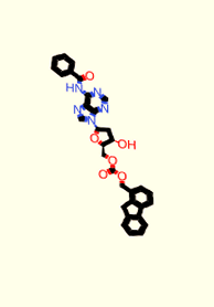 O=C(OCc1cccc2c1Cc1ccccc1-2)OC[C@H]1O[C@@H](n2cnc3c(NC(=O)c4ccccc4)ncnc32)C[C@@H]1O